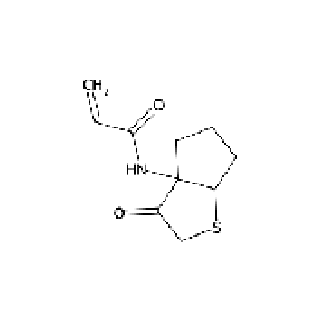 C=CC(=O)NC12CCCC1SCC2=O